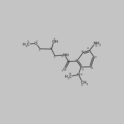 COCC(O)CNC(=O)c1cc(N)ccc1N(C)C